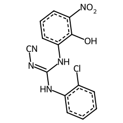 N#C/N=C(/Nc1ccccc1Cl)Nc1cccc([N+](=O)[O-])c1O